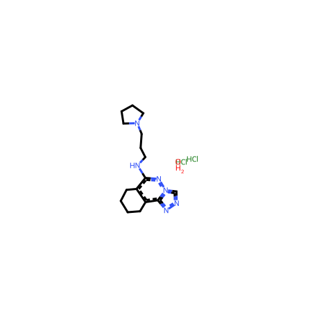 Cl.Cl.O.c1nnc2c3c(c(NCCCN4CCCC4)nn12)CCCC3